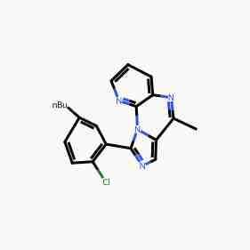 CCCCc1ccc(Cl)c(-c2ncc3c(C)nc4cccnc4n23)c1